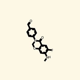 CNc1cc2c(cc1F)C(=O)N(c1ccc(C=O)cc1)CO2